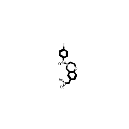 CCN(Cc1ccc2c(c1)CN([S+]([O-])c1ccc(F)cc1)CCO2)C(C)=O